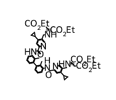 CCOC(=O)C[C@@H](NCc1cnc(C(=O)Nc2cccc(-c3cccc(NC(=O)c4cc(C5CC5)c(CN[C@H](CC(=O)OCC)C(=O)OCC)cn4)c3C)c2C)cc1C1CC1)C(=O)OCC